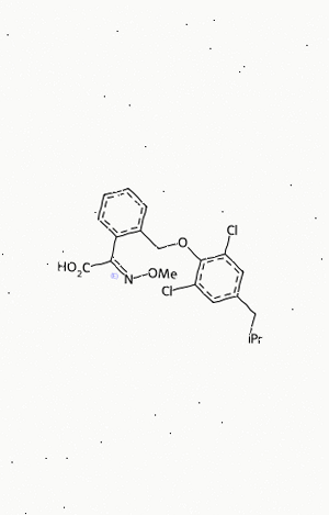 CO/N=C(/C(=O)O)c1ccccc1COc1c(Cl)cc(CC(C)C)cc1Cl